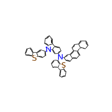 c1ccc2c(c1)ccc1c3cc(N(c4ccc5c6ccccc6n(-c6ccc7sc8ccccc8c7c6)c5c4)c4cccc5c4sc4ccccc45)ccc3ccc21